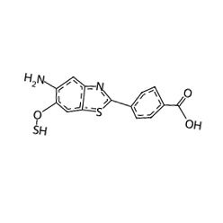 Nc1cc2nc(-c3ccc(C(=O)O)cc3)sc2cc1OS